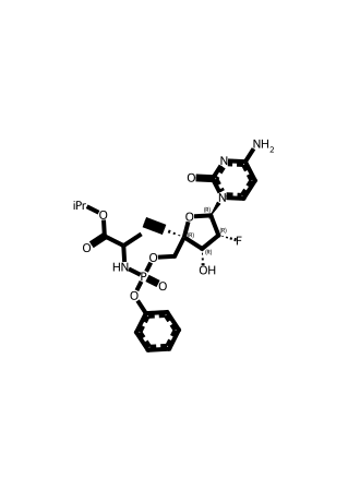 C#C[C@]1(COP(=O)(NC(C)C(=O)OC(C)C)Oc2ccccc2)O[C@@H](n2ccc(N)nc2=O)[C@H](F)[C@@H]1O